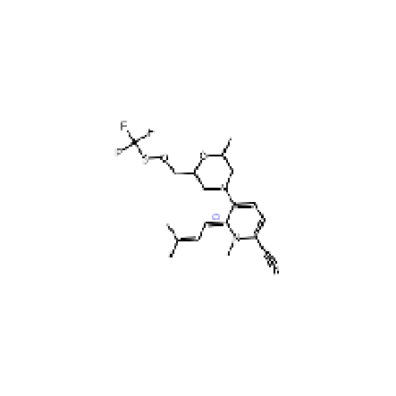 CC(C)=C/C=C1/C(N2CC(C)OC(COSC(F)(F)F)C2)=CC=C(C#N)N1C